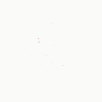 c1ccc(-c2ccccc2N(c2ccc3c(ccc4ccc5ccccc5c43)c2)c2cc3ccccc3c3c2sc2ccccc23)cc1